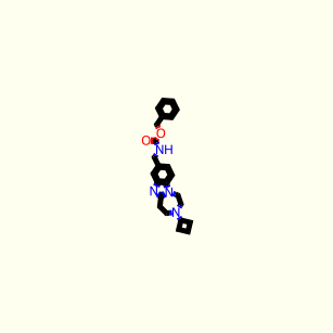 O=C(NCc1ccc2c(c1)nc1n2CCN(C2CCC2)CC1)OCc1ccccc1